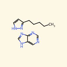 CCCCCc1cc[nH]n1.c1ncc2[nH]cnc2n1